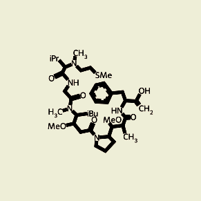 C=C(O)C(Cc1ccccc1)NC(=O)C(C)C(OC)C1CCCN1C(=O)CC(OC)C(C(C)CC)N(C)C(=O)CNC(=O)C(C(C)C)N(C)CCSC